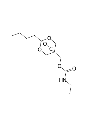 CCCCC12OCC(COC(=O)NCC)(CO1)CO2